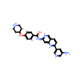 Nc1cncc(-c2ccc3cnc(NC(=O)c4ccc(OC5CCNCC5)cc4)cc3n2)c1